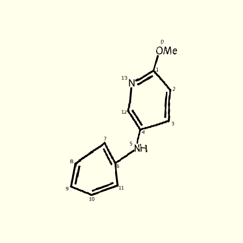 COc1ccc(Nc2ccccc2)cn1